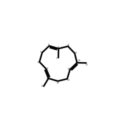 C/C1=C\CC/C=C(\C)CC/C(C)=C/CC1